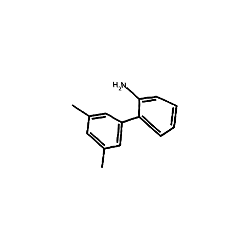 Cc1cc(C)cc(-c2ccccc2N)c1